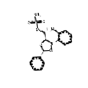 Nc1ccccc1[C@@H]1O[C@H](c2ccccc2)O[C@H]1COS(N)(=O)=O